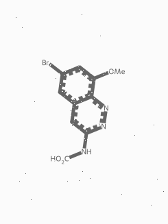 COc1cc(Br)cc2cc(NC(=O)O)nnc12